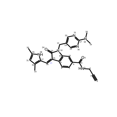 C#CCNC(=O)c1ccc2c(c1)N(Cc1cnc(N(C)C)nc1)C(=O)/C2=C\c1[nH]c(C)cc1C